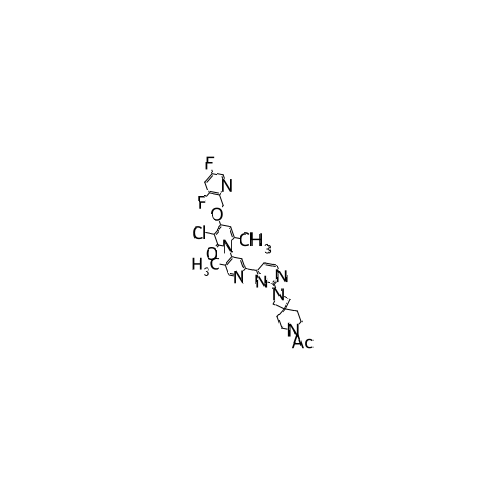 CC(=O)N1CCC2(CC1)CN(c1nccc(-c3cc(-n4c(C)cc(OCc5ncc(F)cc5F)c(Cl)c4=O)c(C)cn3)n1)C2